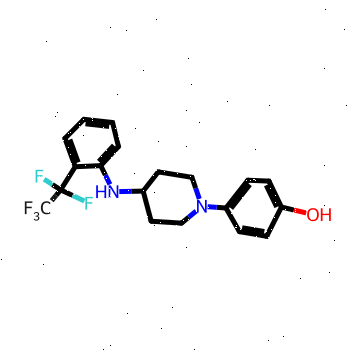 Oc1ccc(N2CCC(Nc3ccccc3C(F)(F)C(F)(F)F)CC2)cc1